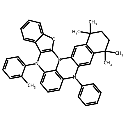 Cc1ccccc1N1c2cccc3c2B(c2cc4c(cc2N3c2ccccc2)C(C)(C)CCC4(C)C)c2oc3ccccc3c21